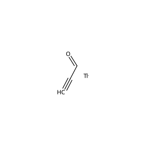 C#CC=O.[Tl]